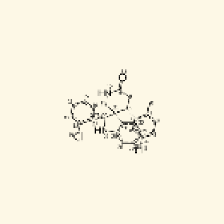 Cc1ccc(F)cc1[C@H]1CC(=O)N[C@@H](c2cccc(Cl)c2)[C@]12C(=O)Nc1cc(Cl)ccc12